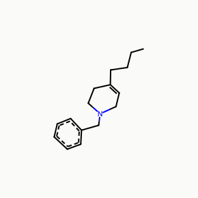 CCCCC1=CCN(Cc2ccccc2)CC1